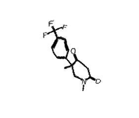 CN1CC(C)(c2ccc(C(F)(F)F)cc2)C(=O)CC1=O